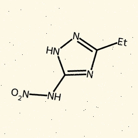 CCc1n[nH]c(N[N+](=O)[O-])n1